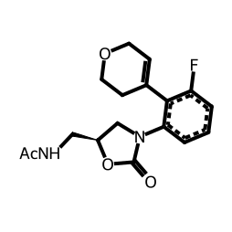 CC(=O)NC[C@H]1CN(c2cccc(F)c2C2=CCOCC2)C(=O)O1